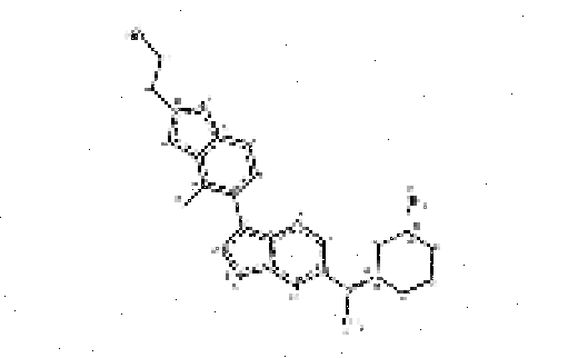 CN(c1cnc2c(-c3ccc4nn(CCO)cc4c3Cl)c[nH]c2n1)[C@@H]1CCC[C@@H](N)C1